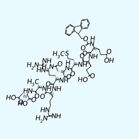 CSCC[C@H](NC(=O)[C@H](CCC(=O)O)NC(=O)[C@H](CCC(=O)O)NC(=O)OCC1c2ccccc2-c2ccccc21)C(=O)N[C@@H](CC(N)=O)C(=O)N[C@@H](CCCNC(=N)N)C(=O)N[C@@H](CCCNC(=N)N)C(=O)N[C@@H](C)C(=O)N[C@@H](CC(=O)O)C(=O)O